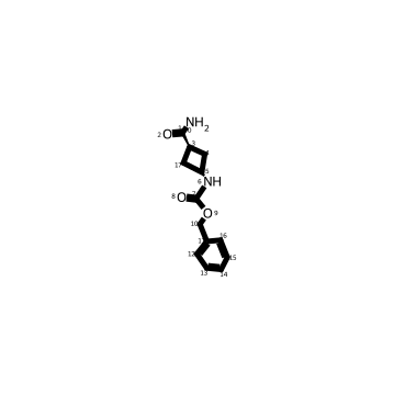 NC(=O)[C@H]1C[C@H](NC(=O)OCc2ccccc2)C1